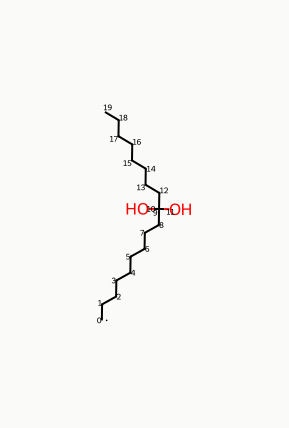 [CH2]CCCCCCCCC(O)(O)CCCCCCCC